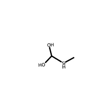 C[SiH]C(O)O